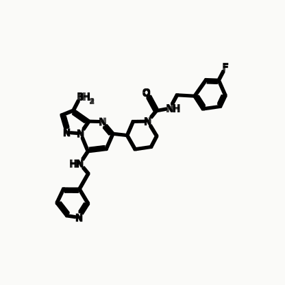 Bc1cnn2c(NCc3cccnc3)cc(C3CCCN(C(=O)NCc4cccc(F)c4)C3)nc12